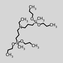 CCCO[Si](C)(CCCN(CC)CCC[Si](C)(OCCC)OCCC)OCCC